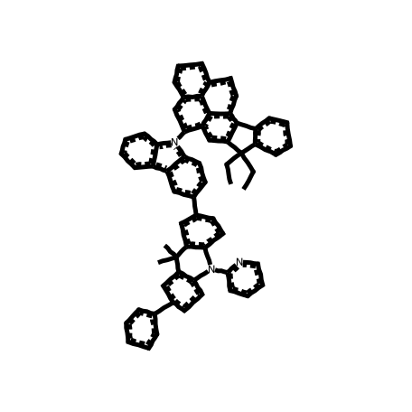 CCC1(CC)c2ccccc2-c2c1cc1c(-n3c4ccccc4c4cc(-c5ccc6c(c5)C(C)(C)c5cc(-c7ccccc7)ccc5N6c5ccccn5)ccc43)cc3cccc4ccc2c1c43